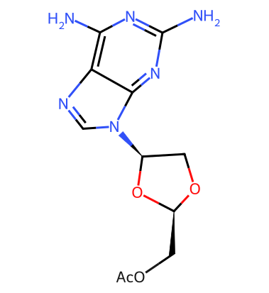 CC(=O)OC[C@@H]1OC[C@H](n2cnc3c(N)nc(N)nc32)O1